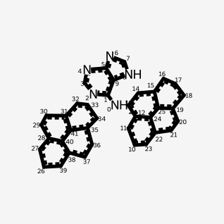 Nc1ncnc2nc[nH]c12.c1cc2ccc3cccc4ccc(c1)c2c34.c1cc2ccc3cccc4ccc(c1)c2c34